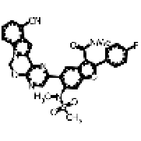 CNC(=O)c1c(-c2ccc(F)cc2)oc2cc(N(C)S(C)(=O)=O)c(-c3cnc4c(n3)-c3cc5c(C#N)cccc5n3CO4)cc12